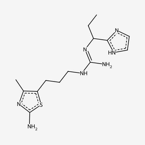 CCC(N=C(N)NCCCc1sc(N)nc1C)c1ncc[nH]1